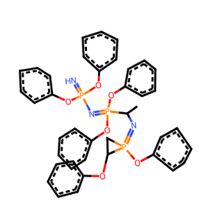 CC(N=P1(Oc2ccccc2)CC1Oc1ccccc1)P(=NP(=N)(Oc1ccccc1)Oc1ccccc1)(Oc1ccccc1)Oc1ccccc1